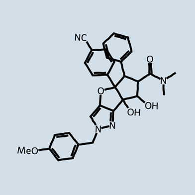 COc1ccc(Cn2cc3c(n2)C2(O)C(O)C(C(=O)N(C)C)C(c4ccccc4)C2(c2ccc(C#N)cc2)O3)cc1